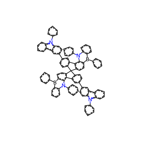 c1ccc(B2c3ccccc3N(c3ccccc3)c3c2ccc2c3-c3cc(-c4ccc5c(c4)c4ccccc4n5-c4ccccc4)ccc3C23c2ccc(-c4ccc5c(c4)c4ccccc4n5-c4ccccc4)cc2-c2c3ccc3c2N(c2ccccc2)c2ccccc2B3c2ccccc2)cc1